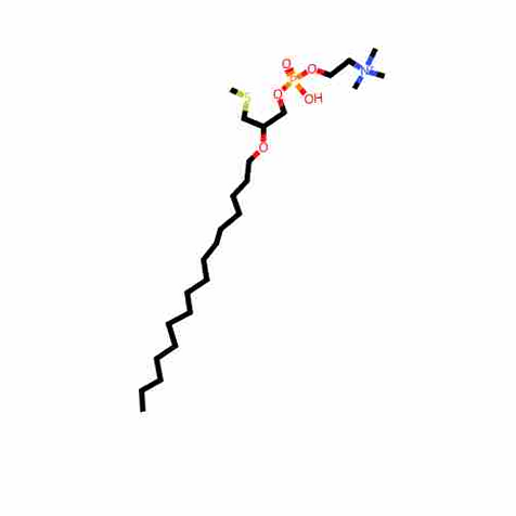 CCCCCCCCCCCCCCCCOC(COP(=O)(O)OCC[N+](C)(C)C)CSC